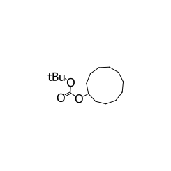 CC(C)(C)OC(=O)OC1CCCCCCCCCC1